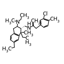 C=C(Cc1ccc(C)c(Cl)c1)NC[C@H]1C(N(C)CC)Cc2ccc(CC)cc2[C@@]1(C)CC